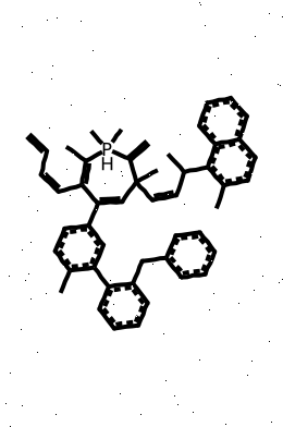 C=C/C=C\C1=C(C)[PH](C)(C)C(=C)C(C)(/C=C\C(C)c2c(C)ccc3ccccc23)C=C1c1ccc(C)c(-c2ccccc2Cc2ccccc2)c1